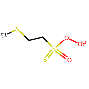 CCSCCS(=O)(=S)OO